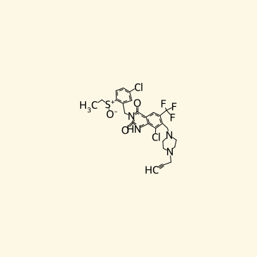 C#CCN1CCN(Cc2c(C(F)(F)F)cc3c(=O)n(Cc4cc(Cl)ccc4[S+]([O-])CC)c(=O)[nH]c3c2Cl)CC1